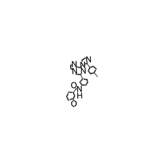 COc1cccc(C(=O)Nc2cccc(-c3cn4ccnc4c(-n4ccnc4-c4ccc(C)cc4)n3)c2)c1